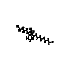 CCCCCCCCCC(N)C(C)(C)C(C)CCCCCC